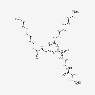 CCCCCCCCCCCCCCCCCCC(=O)OCC(CO[PH](=O)OCCNC(=O)CCC=O)OC(=O)CCCCCCCCCCCCCCCCCC